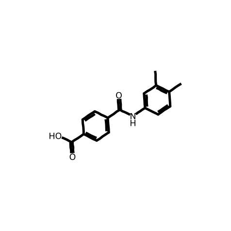 Cc1ccc(NC(=O)c2ccc(C(=O)O)cc2)cc1C